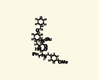 COc1ccc(CN(C)[C@@H](CC(C)C)C(=O)N[C@@H](Cc2ccc(OCc3ccccc3)cc2)C(=O)NC(C)(C)C)cc1